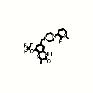 Cc1nc2c(OC(F)(F)F)cc(CN3CCN(C4=C(F)N(C)CC=C4)CC3)cc2[nH]c1=O